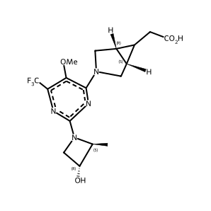 COc1c(N2C[C@@H]3C(CC(=O)O)[C@@H]3C2)nc(N2C[C@@H](O)[C@@H]2C)nc1C(F)(F)F